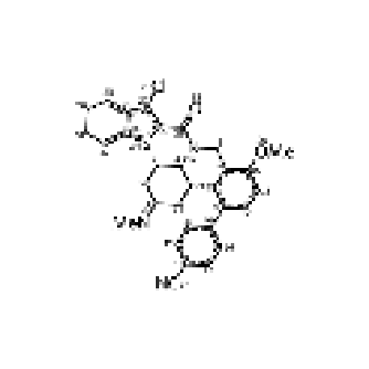 CN[C@H]1CC[C@H](N(Cc2cc(-c3ccc(C#N)cc3)ccc2OC)C(=O)c2sc3c(c2Cl)=CCCC=3)CC1